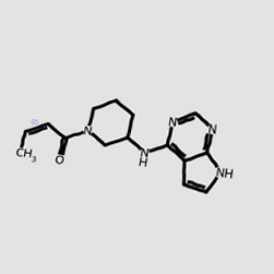 C/C=C\C(=O)N1CCCC(Nc2ncnc3[nH]ccc23)C1